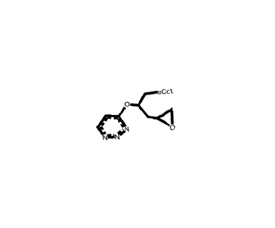 CCCCCCCCCC(CC1CO1)Oc1ccnnn1